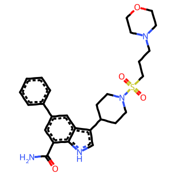 NC(=O)c1cc(-c2ccccc2)cc2c(C3CCN(S(=O)(=O)CCCN4CCOCC4)CC3)c[nH]c12